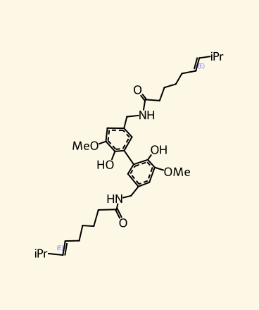 COc1cc(CNC(=O)CCCC/C=C/C(C)C)cc(-c2cc(CNC(=O)CCCC/C=C/C(C)C)cc(OC)c2O)c1O